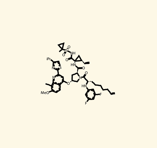 C=CCCCCC[C@H](Nc1cc(F)cc(F)c1)C(=O)N1C[C@H](Oc2cc(-c3nc(C(C)C)cs3)nc3c(C)c(OC)ccc23)C[C@H]1C(=O)N[C@]1(C(=O)NS(=O)(=O)C2(C)CC2)C[C@H]1C=C